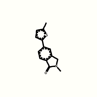 Cc1ccc(-c2ccc3c(c2)CN(C)C3=O)s1